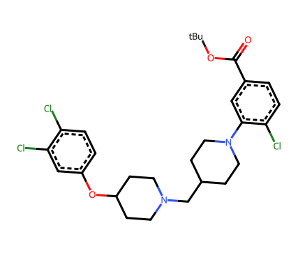 CC(C)(C)OC(=O)c1ccc(Cl)c(N2CCC(CN3CCC(Oc4ccc(Cl)c(Cl)c4)CC3)CC2)c1